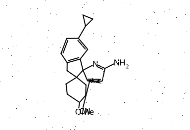 COC1CCC2(CC1)Cc1ccc(C3CC3)cc1C21N=C(N)c2ccc(C#N)cc21